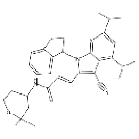 CC(C)c1cc(C(C)C)c2c(C#N)c(C=CC(=O)NC3CCOC(C)(C)C3)n(C3CCc4ccccc43)c2n1